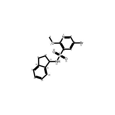 COc1ncc(Br)cc1S(=O)(=O)NC1CCc2ccccc21